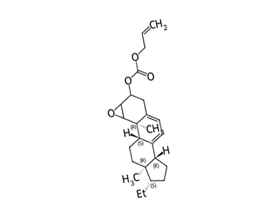 C=CCOC(=O)OC1CC2=CC=C3[C@@H]4CC[C@H](CC)[C@@]4(C)CC[C@@H]3[C@@]2(C)C2OC12